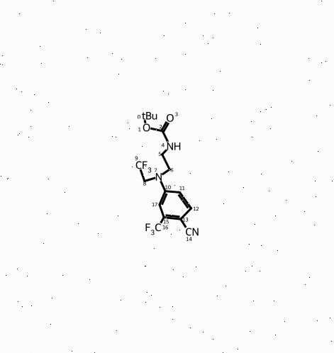 CC(C)(C)OC(=O)NCCN(CC(F)(F)F)c1ccc(C#N)c(C(F)(F)F)c1